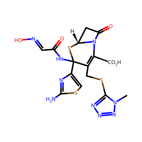 Cn1nnnc1SCC1=C(C(=O)O)N2C(=O)C[C@H]2SC1(NC(=O)/C=N/O)c1csc(N)n1